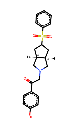 O=C(CN1C[C@H]2CC(S(=O)(=O)c3ccccc3)C[C@H]2C1)c1ccc(O)cc1